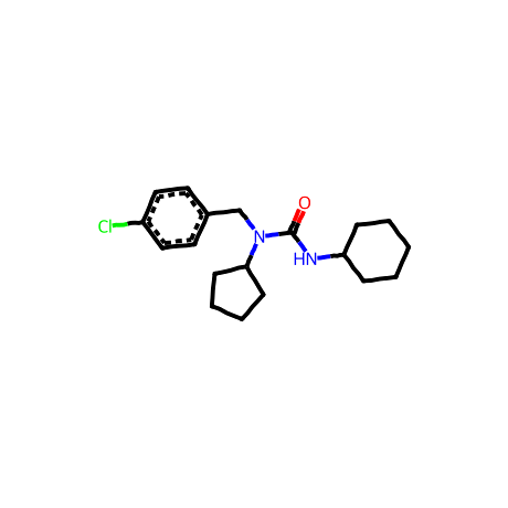 O=C(NC1CCCCC1)N(Cc1ccc(Cl)cc1)C1CCCC1